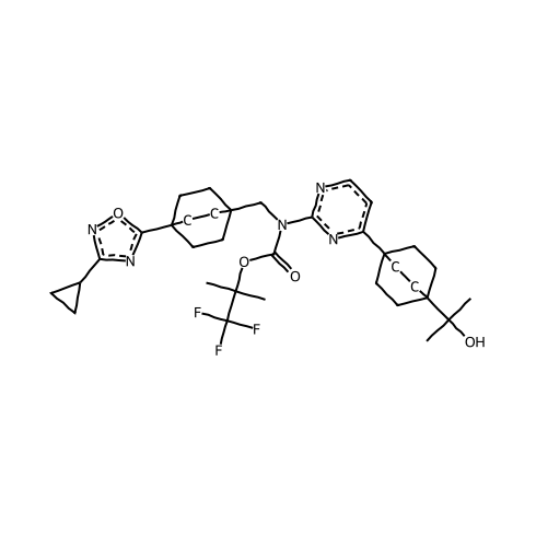 CC(C)(O)C12CCC(c3ccnc(N(CC45CCC(c6nc(C7CC7)no6)(CC4)CC5)C(=O)OC(C)(C)C(F)(F)F)n3)(CC1)CC2